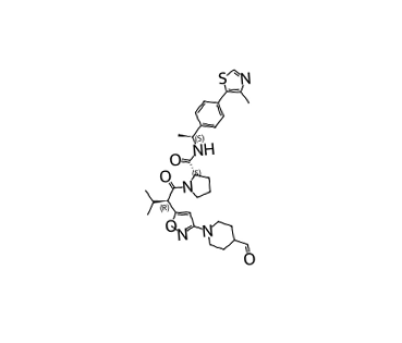 Cc1ncsc1-c1ccc([C@H](C)NC(=O)[C@@H]2CCCN2C(=O)[C@@H](c2cc(N3CCC(C=O)CC3)no2)C(C)C)cc1